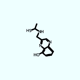 CC(S)NCc1cnc2cccc(O)c2n1